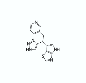 c1cncc(CC(c2c[nH]nn2)c2c[nH]c3ncsc23)c1